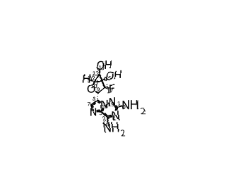 Nc1nc(N)c2ncc([C@@H]3O[C@@H]4C(O)[C@]4(O)[C@H]3F)n2n1